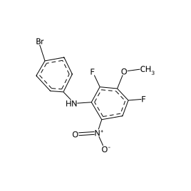 COc1c(F)cc([N+](=O)[O-])c(Nc2ccc(Br)cc2)c1F